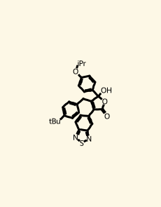 CC(C)Oc1ccc(C2(O)OC(=O)C(c3ccc4nsnc4c3)=C2Cc2ccc(C(C)(C)C)cc2)cc1